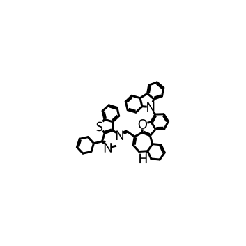 C/N=C(\c1sc2ccccc2c1/N=C/C1=CC[C@@H]2CCC=CC2c2c1oc1c(N3c4ccccc4C4C=CC=CC43)cccc21)C1CC=CCC1